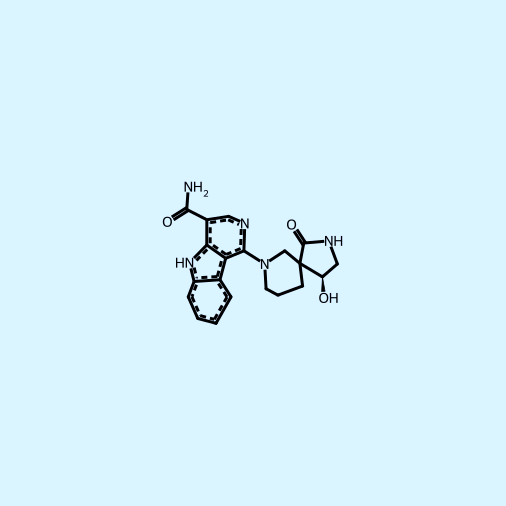 NC(=O)c1cnc(N2CCCC3(C2)C(=O)NC[C@H]3O)c2c1[nH]c1ccccc12